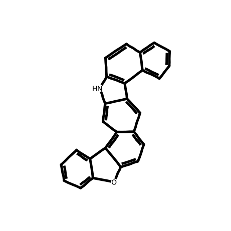 c1ccc2c(c1)ccc1[nH]c3cc4c(ccc5oc6ccccc6c54)cc3c12